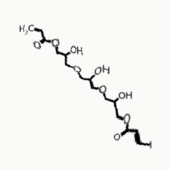 C=CC(=O)OCC(O)COCC(O)COCC(O)COC(=O)/C=C/I